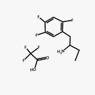 CCC(N)Cc1cc(F)c(F)cc1F.O=C(O)C(F)(F)F